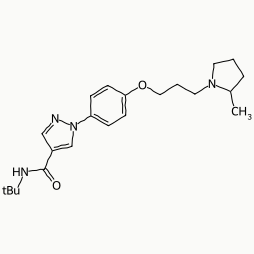 CC1CCCN1CCCOc1ccc(-n2cc(C(=O)NC(C)(C)C)cn2)cc1